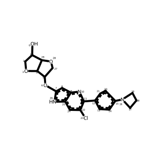 OC1COC2C(Oc3cc4nc(-c5ccc(N6CCC6)cc5)c(Cl)cc4[nH]3)COC12